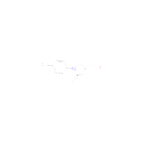 CC(=O)c1ccc(N2C[C@H](CO)OC2=O)cc1